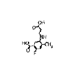 Cc1cc(F)c(C(=O)O)cc1NCCC(=O)O